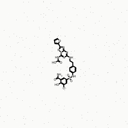 NC(=O)c1cc(S(=O)(=O)Nc2ccc(CCNc3nc(NC(=O)O)n4nc(-c5ccco5)nc4n3)cc2)cc(Cl)c1O